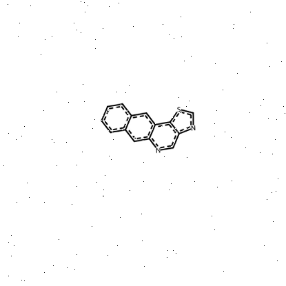 c1ccc2cc3c(cc2c1)ncc1ncsc13